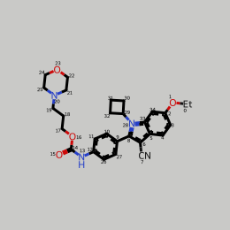 CCOc1ccc2c(C#N)c(-c3ccc(NC(=O)OCCCN4CCOCC4)cc3)n(C3CCC3)c2c1